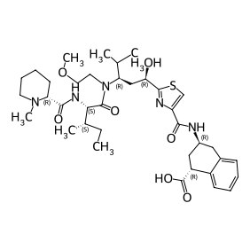 CC[C@H](C)[C@H](NC(=O)[C@H]1CCCCN1C)C(=O)N(CCOC)[C@H](C[C@@H](O)c1nc(C(=O)N[C@H]2Cc3ccccc3[C@H](C(=O)O)C2)cs1)C(C)C